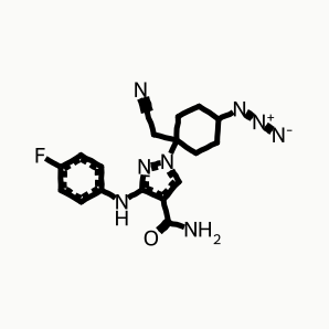 N#CCC1(n2cc(C(N)=O)c(Nc3ccc(F)cc3)n2)CCC(N=[N+]=[N-])CC1